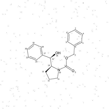 O=C(OCc1ccccc1)N1CCC[C@H]1[C@H](O)c1ccccc1